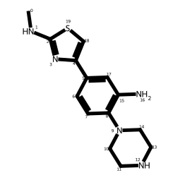 CNc1nc(-c2ccc(N3CCNCC3)c(N)c2)cs1